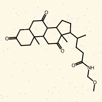 COCNC(=O)CCC(C)C1CCC2C3C(=O)CC4CC(=O)CCC4(C)C3CC(=O)C12C